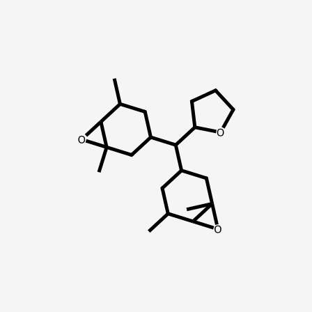 CC1CC(C(C2CC(C)C3OC3(C)C2)C2CCCO2)CC2(C)OC12